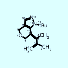 C=C(C)/C(C)=C1\COCc2cnn(C(C)(C)C)c21